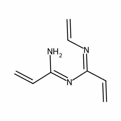 C=C/N=C(C=C)\N=C(/N)C=C